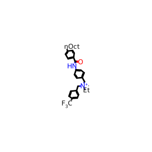 CCCCCCCCc1ccc(C(=O)Nc2ccc(C[N+](CC)Cc3ccc(C(F)(F)F)cc3)cc2)cc1